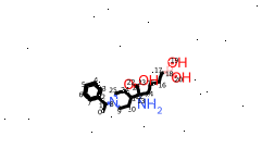 CC(c1ccccc1)N1CCC([C@](N)(CCCCB(O)O)C(=O)O)CC1